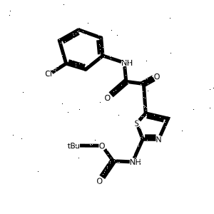 CC(C)(C)OC(=O)Nc1ncc(C(=O)C(=O)Nc2cccc(Cl)c2)s1